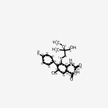 COC(C)(CO)CSc1c(-c2ccc(F)cc2)c(Cl)cc2c(=O)[nH]c(=O)[nH]c12